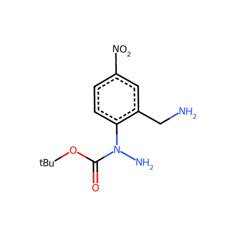 CC(C)(C)OC(=O)N(N)c1ccc([N+](=O)[O-])cc1CN